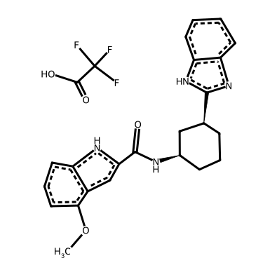 COc1cccc2[nH]c(C(=O)N[C@@H]3CCC[C@H](c4nc5ccccc5[nH]4)C3)cc12.O=C(O)C(F)(F)F